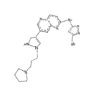 CCCc1nnc(Nc2ccc3ncc(C4=CN(CCCN5CCCC5)NC4)cc3n2)s1